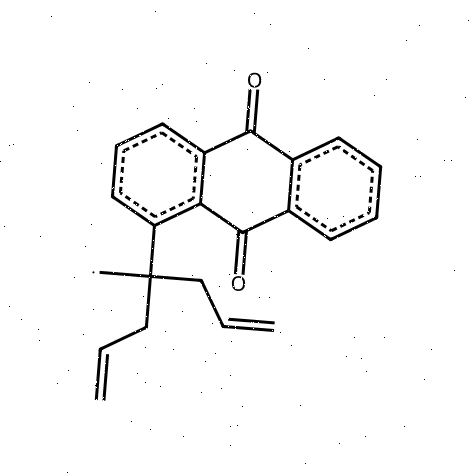 [CH2]C(CC=C)(CC=C)c1cccc2c1C(=O)c1ccccc1C2=O